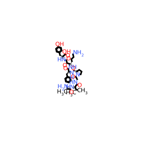 CC(C)[C@H](NC(=O)[C@H](C)N)C(=O)NCC(=O)N1CCC[C@H]1C(=O)N[C@@H](Cc1ccccc1)C(=O)N[C@@H](CCCCN)C(=O)C(=O)N[C@@H](Cc1ccc(O)cc1)C(=O)O